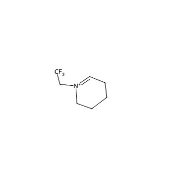 FC(F)(F)C[N+]1=CCCCC1